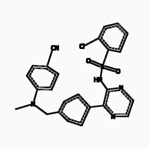 CN(Cc1ccc(-c2nccnc2NS(=O)(=O)c2ccccc2Cl)cc1)c1ccc(C#N)cc1